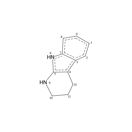 c1ccc2c3c([nH]c2c1)NCCC3